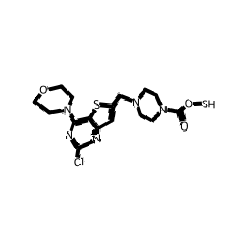 O=C(OS)N1CCN(Cc2cc3nc(Cl)nc(N4CCOCC4)c3s2)CC1